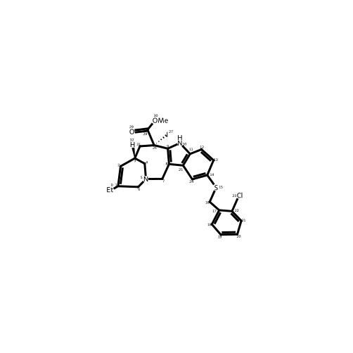 CCC1=C[C@H]2CN(C1)Cc1c([nH]c3ccc(SCc4ccccc4Cl)cc13)[C@](I)(C(=O)OC)C2